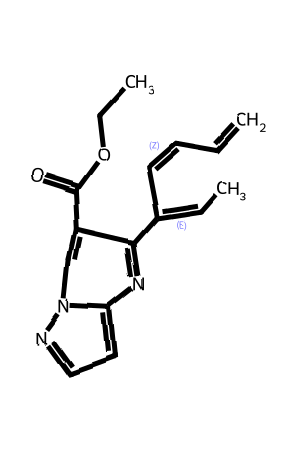 C=C/C=C\C(=C/C)c1nc2ccnn2cc1C(=O)OCC